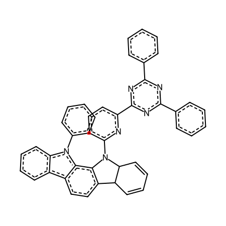 C1=CC2c3ccc4c5ccccc5n(-c5ccccc5)c4c3N(c3cccc(-c4nc(-c5ccccc5)nc(-c5ccccc5)n4)n3)C2C=C1